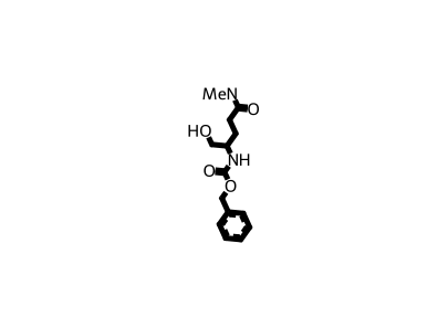 CNC(=O)CCC(CO)NC(=O)OCc1ccccc1